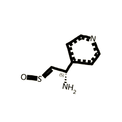 N[C@H](C=S=O)c1ccncc1